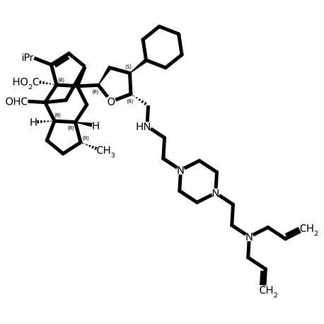 C=CCN(CC=C)CCN1CCN(CCNC[C@@H]2O[C@@H](C34C[C@@H]5[C@H](C)CC[C@H]5C5(C=O)CC3C=C(C(C)C)[C@]54C(=O)O)C[C@H]2C2CCCCC2)CC1